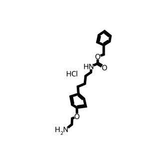 Cl.NCCOc1ccc(CCCCNC(=O)OCc2ccccc2)cc1